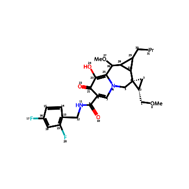 COC[C@H]1C[C@@]12Cn1cc(C(=O)NCc3ccc(F)cc3F)c(=O)c(O)c1C(OC)C1C(CC(C)C)C12